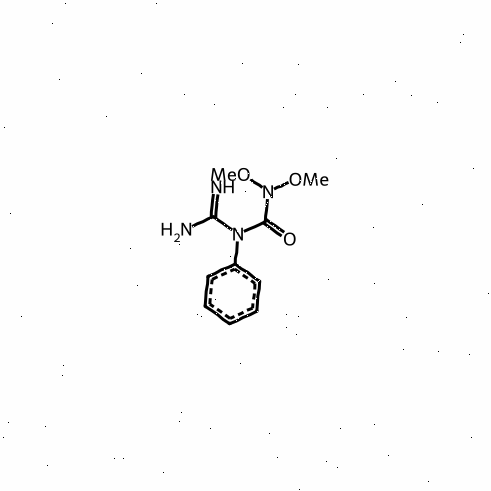 CON(OC)C(=O)N(C(=N)N)c1ccccc1